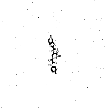 Cc1ccc(NC(=O)C(=O)NCC(NC(=O)c2nc3c(s2)CN(C)CC3)C(=O)N(C)C)cc1